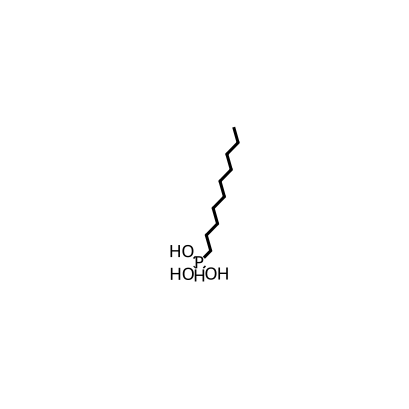 CCCCCCCCCC[PH](O)(O)O